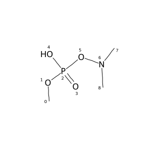 COP(=O)(O)ON(C)C